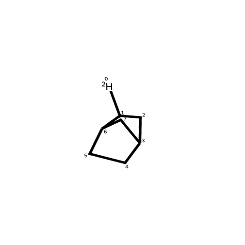 [2H][C]1CC2CCC1C2